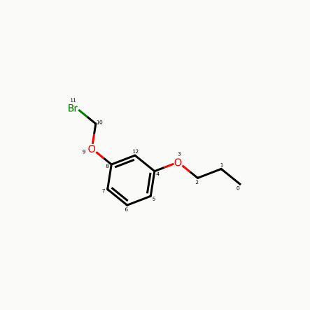 CCCOc1cccc(OCBr)c1